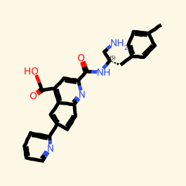 Cc1ccc(C[C@@H](CN)NC(=O)c2cc(C(=O)O)c3cc(-c4ccccn4)ccc3n2)cc1